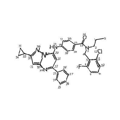 CCCN(Cc1c(F)cccc1Cl)C(=O)c1ccc(Nc2cc(-c3ccccc3)nc3cc(C4CC4)nn23)cc1